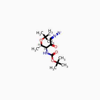 C[C@H](OC(C)(C)C)[C@H](NC(=O)OC(C)(C)C)C(=O)C=[N+]=[N-]